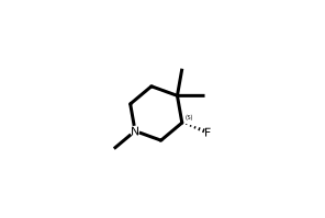 CN1CCC(C)(C)[C@H](F)C1